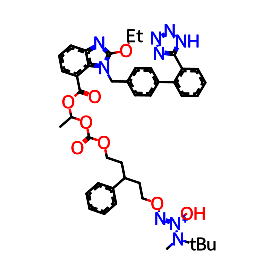 CCOc1nc2cccc(C(=O)OC(C)OC(=O)OCCC(CCO/N=[N+](\O)N(C)C(C)(C)C)c3ccccc3)c2n1Cc1ccc(-c2ccccc2-c2nnn[nH]2)cc1